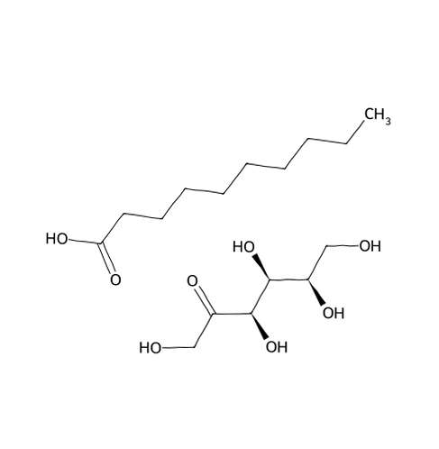 CCCCCCCCCC(=O)O.O=C(CO)[C@H](O)[C@@H](O)[C@H](O)CO